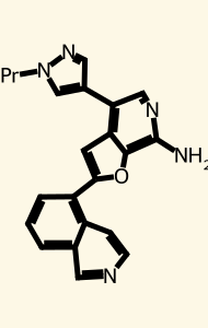 CC(C)n1cc(-c2cnc(N)c3oc(-c4cccc5cnccc45)cc23)cn1